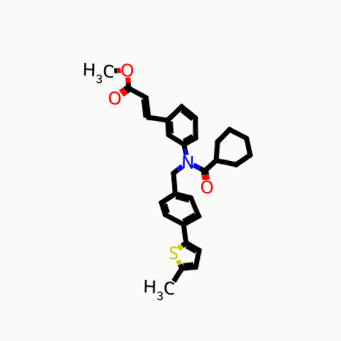 COC(=O)/C=C/c1cccc(N(Cc2ccc(-c3ccc(C)s3)cc2)C(=O)C2CCCCC2)c1